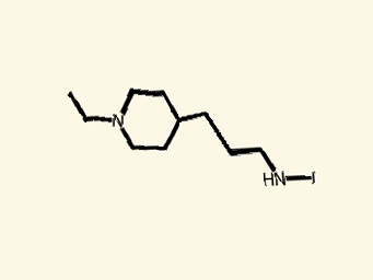 CCN1CCC(CCCNI)CC1